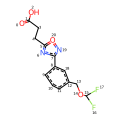 O=C(O)CCc1nc(-c2cccc(COC(F)F)c2)no1